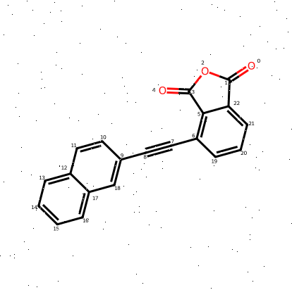 O=C1OC(=O)c2c(C#Cc3ccc4ccccc4c3)cccc21